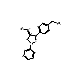 NCc1ccc(C2=NN(c3ccccc3)CC2=NO)cc1